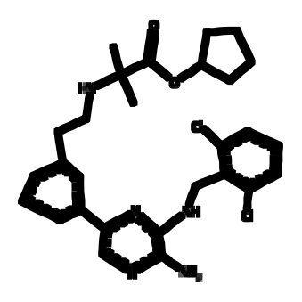 CC(C)(NCCc1cccc(-c2cnc(N)c(NCc3c(Cl)cccc3Cl)n2)c1)C(=O)OC1CCCC1